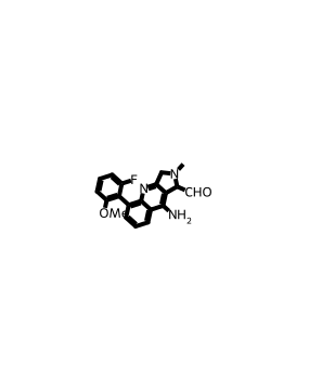 COc1cccc(F)c1-c1cccc2c(N)c3c(nc12)CN(C)C3C=O